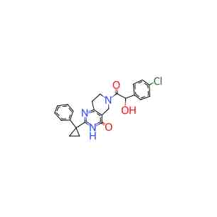 O=C(C(O)c1ccc(Cl)cc1)N1CCc2nc(C3(c4ccccc4)CC3)[nH]c(=O)c2C1